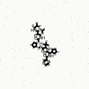 CCC[C@H](NC(=O)C[C@H]1CCC[C@H]1CNC(=O)[C@@H](NC(=O)[C@@H](NC(=O)c1cnccn1)C1CCCC1)C(C)(C)C)C(=O)C(=O)N[C@@H](C)C(C)C